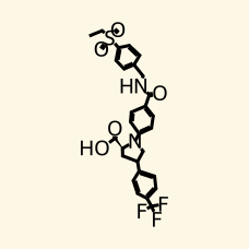 CCS(=O)(=O)c1ccc(CNC(=O)c2ccc(N3CC(c4ccc(C(F)(F)F)cc4)C[C@H]3C(=O)O)cc2)cc1